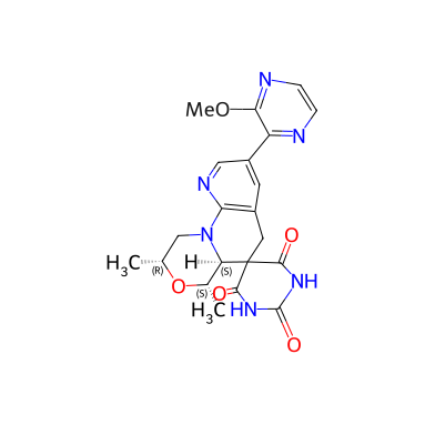 COc1nccnc1-c1cnc2c(c1)CC1(C(=O)NC(=O)NC1=O)[C@H]1[C@H](C)O[C@H](C)CN21